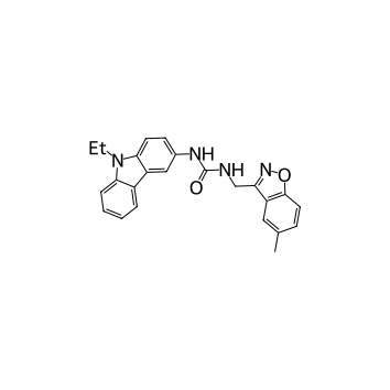 CCn1c2ccccc2c2cc(NC(=O)NCc3noc4ccc(C)cc34)ccc21